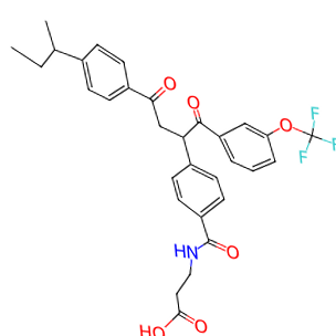 CCC(C)c1ccc(C(=O)CC(C(=O)c2cccc(OC(F)(F)F)c2)c2ccc(C(=O)NCCC(=O)O)cc2)cc1